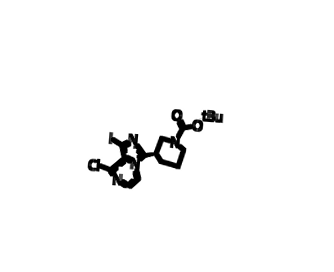 CC(C)(C)OC(=O)N1CCC[C@@H](c2nc(I)c3c(Cl)nccn23)C1